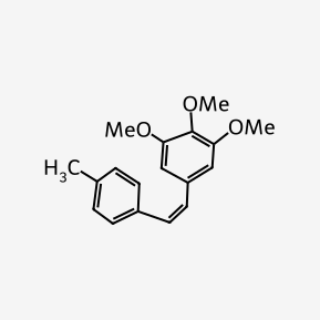 COc1cc(/C=C\c2ccc(C)cc2)cc(OC)c1OC